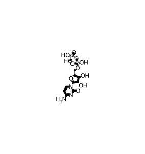 Nc1ccn([C@@H]2O[C@H](COP(=O)(O)OP(=O)(O)O)C(O)[C@@H]2O)c(=O)n1